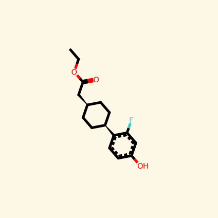 CCOC(=O)C[C@H]1CC[C@@H](c2ccc(O)cc2F)CC1